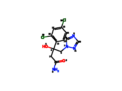 NC(=O)CC(O)(Cn1cncn1)c1ccc(Cl)cc1Cl